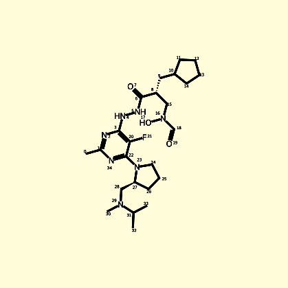 Cc1nc(NNC(=O)[C@H](CC2CCCC2)CN(O)C=O)c(F)c(N2CCC[C@H]2CN(C)C(C)C)n1